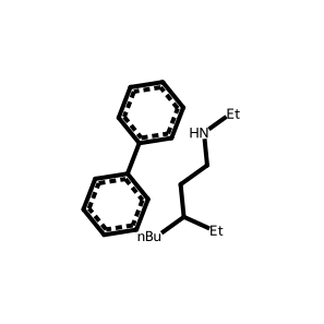 CCCCC(CC)CCNCC.c1ccc(-c2ccccc2)cc1